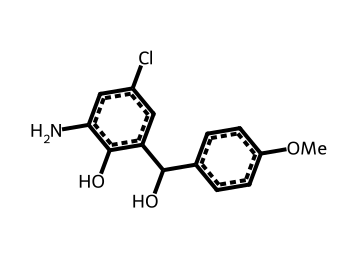 COc1ccc(C(O)c2cc(Cl)cc(N)c2O)cc1